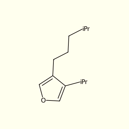 CC(C)CCCc1cocc1C(C)C